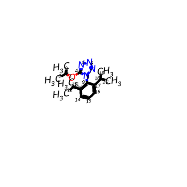 CC(C)Oc1nnnn1-c1c(C(C)C)cccc1C(C)C